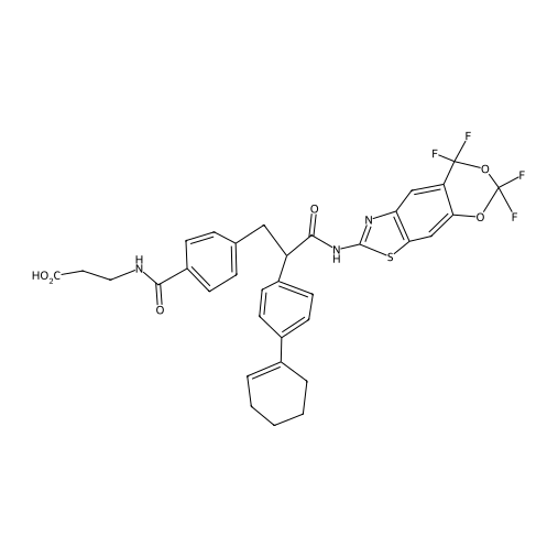 O=C(O)CCNC(=O)c1ccc(CC(C(=O)Nc2nc3cc4c(cc3s2)OC(F)(F)OC4(F)F)c2ccc(C3=CCCCC3)cc2)cc1